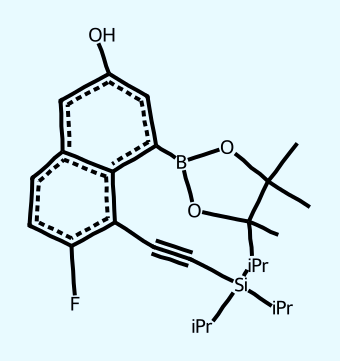 CC(C)[Si](C#Cc1c(F)ccc2cc(O)cc(B3OC(C)(C)C(C)(C)O3)c12)(C(C)C)C(C)C